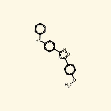 COc1ccc(-c2nc(-c3ccc(Nc4ccccc4)cc3)no2)cc1